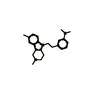 Cc1ccc2c(c1)c1c(n2CCc2cccc(N(C)C)c2)CCN(C)C1